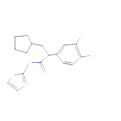 O=C(Nc1nccs1)C(CC1CCCC1)c1ccc(O)c(F)c1